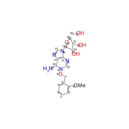 COc1ccccc1CON1C=Nc2c(ncn2[C@@H]2O[C@H](CO)C(O)C2O)C1N